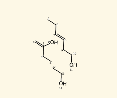 C=C(O)CC.CCC=CCCO.CCO